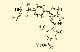 COC(=O)N1CC(C)N(c2ncc3[nH]nc(-c4ccc(N5CCNC(C)C5)nc4)c3n2)C(C)C1